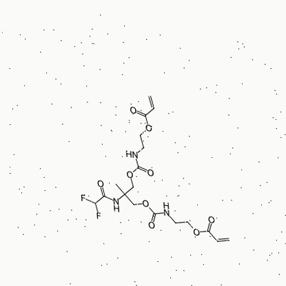 C=CC(=O)OCCNC(=O)OCC(C)(COC(=O)NCCOC(=O)C=C)NC(=O)C(F)F